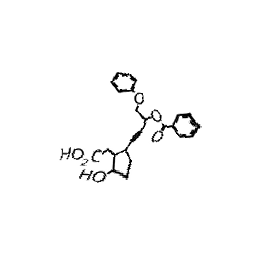 O=C(O)CC1C(O)CCC1C#CC(COc1ccccc1)OC(=O)c1ccccc1